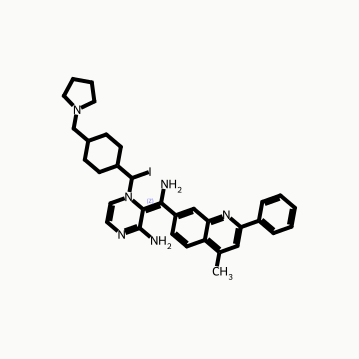 Cc1cc(-c2ccccc2)nc2cc(/C(N)=C3\C(N)=NC=CN3C(I)C3CCC(CN4CCCC4)CC3)ccc12